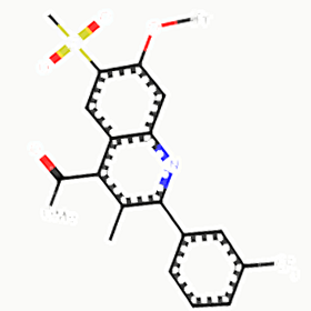 COC(=O)c1c(C)c(-c2cccc(C(F)(F)F)c2)nc2cc(OC(C)C)c(S(C)(=O)=O)cc12